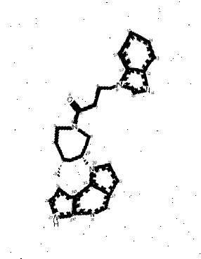 C[C@@H]1CCN(C(=O)CCn2cnc3ccccc32)C[C@@H]1n1ccc2cnc3[nH]ccc3c21